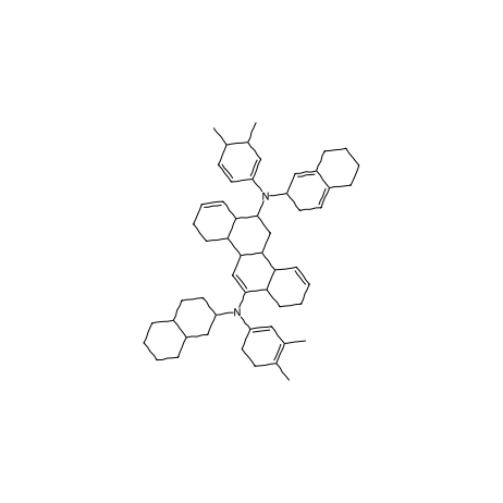 CC1=C(C)CCC(N(C2=CC3C(CC(N(C4=CC(C)C(C)C=C4)C4C=C5CCCCC5=CC4)C4C=CCCC34)C3C=CCCC23)C2CCC3CCCCC3C2)=C1